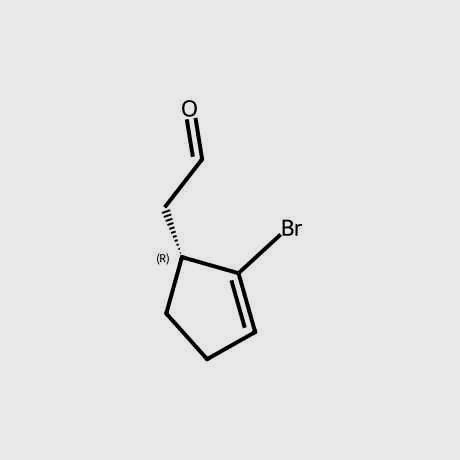 O=CC[C@H]1CCC=C1Br